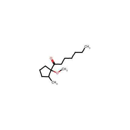 CCCCCCC(=O)C1(OC)CCCC1C